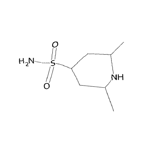 CC1CC(S(N)(=O)=O)CC(C)N1